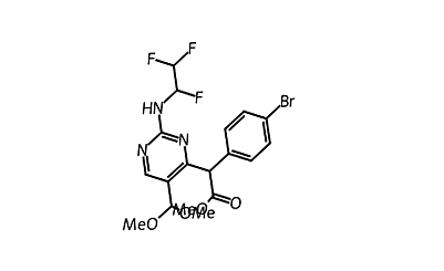 COC(=O)C(c1ccc(Br)cc1)c1nc(NC(F)C(F)F)ncc1C(OC)OC